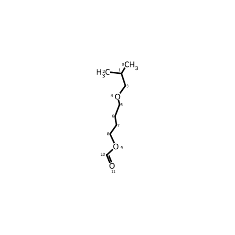 CC(C)COCCCCO[C]=O